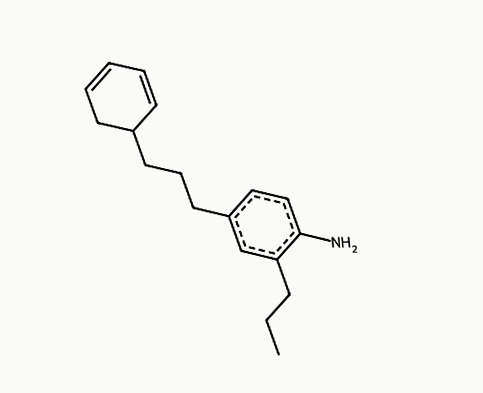 CCCc1cc(CCCC2C=CC=CC2)ccc1N